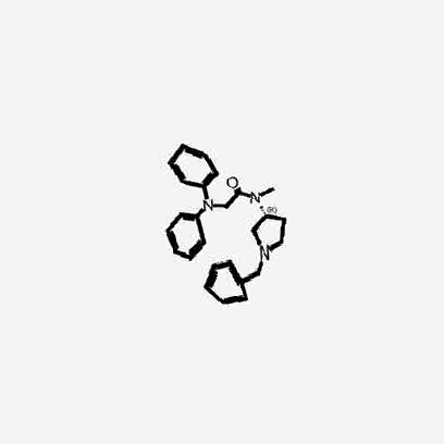 CN(C(=O)CN(c1ccccc1)c1ccccc1)[C@@H]1CCN(Cc2ccccc2)C1